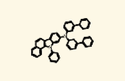 C1=CCC(c2cccc(N(c3ccc4c5ccc6ccccc6c5n(-c5ccccc5)c4c3)C3C=CC=C(c4ccccc4)C3)c2)C=C1